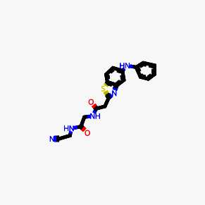 N#CCNC(=O)CNC(=O)Cc1nc2cc(Nc3ccccc3)ccc2s1